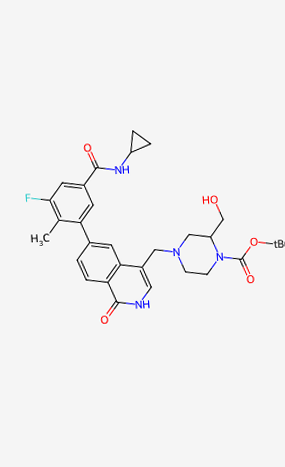 Cc1c(F)cc(C(=O)NC2CC2)cc1-c1ccc2c(=O)[nH]cc(CN3CCN(C(=O)OC(C)(C)C)C(CO)C3)c2c1